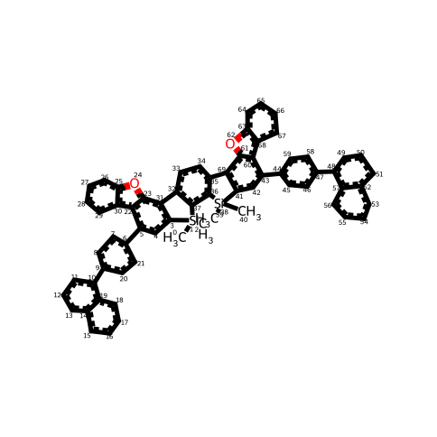 C[Si]1(C)c2cc(-c3ccc(-c4cccc5ccccc45)cc3)c3c(oc4ccccc43)c2-c2ccc3c(c21)[Si](C)(C)c1cc(-c2ccc(-c4cccc5ccccc45)cc2)c2c(oc4ccccc42)c1-3